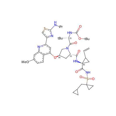 C=CC1C[C@]1(NC(=O)[C@@H]1C[C@@H](Oc2cc(-c3csc(NC(C)C)n3)nc3cc(OC)ccc23)CN1C(=O)[C@@H](NC(=O)OC(C)(C)C)C(C)(C)C)C(=O)NS(=O)(=O)C1(CC2CC2)CC1